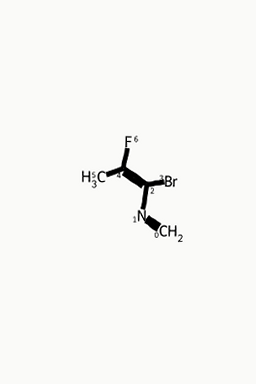 C=N/C(Br)=C(\C)F